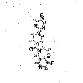 O=C(C1CCN(c2ncc(F)cn2)CC1)N1CCOc2c(F)cncc2C1